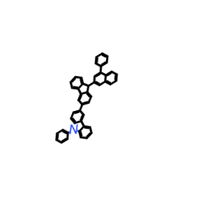 c1ccc(-c2cc(C3c4ccccc4-c4cc(-c5ccc6c(c5)c5ccccc5n6-c5ccccc5)ccc43)cc3ccccc23)cc1